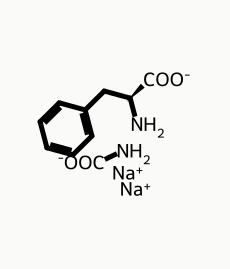 NC(=O)[O-].N[C@@H](Cc1ccccc1)C(=O)[O-].[Na+].[Na+]